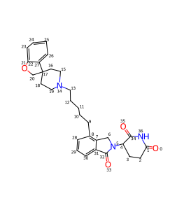 O=C1CCC(N2Cc3c(CCCCCN4CCC5(CC4)COc4ccccc45)cccc3C2=O)C(=O)N1